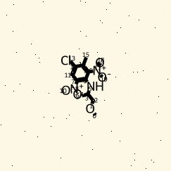 COCC(C)Nc1c([N+](=O)[O-])cc(Cl)c(C)c1[N+](=O)[O-]